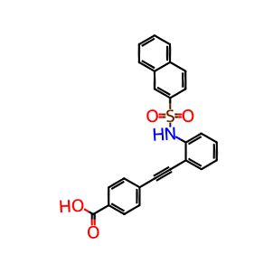 O=C(O)c1ccc(C#Cc2ccccc2NS(=O)(=O)c2ccc3ccccc3c2)cc1